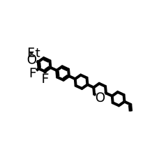 C=CC1CCC(C2CCC(C3CCC(c4ccc(-c5ccc(OCC)c(F)c5F)cc4)CC3)CO2)CC1